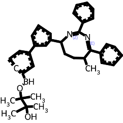 CC1CCC(c2cccc(-c3cccc(BOC(C)(C)C(C)(C)O)c3)c2)/N=C(c2ccccc2)\N=C/1c1ccccc1